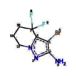 Nc1nn2c(c1Br)C(F)(F)CCC2